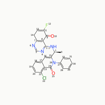 C[C@H](Nc1ncnc2c1C(=O)C(F)=CC2)c1cc2cccc(Cl)c2c(=O)n1-c1ccccc1